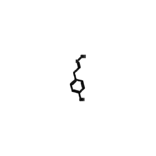 ON=CCc1ccc(O)cc1